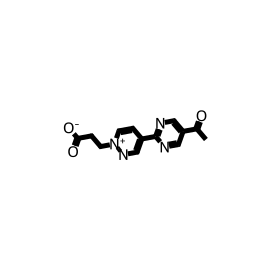 CC(=O)c1cnc(-c2cc[n+](CCC(=O)[O-])nc2)nc1